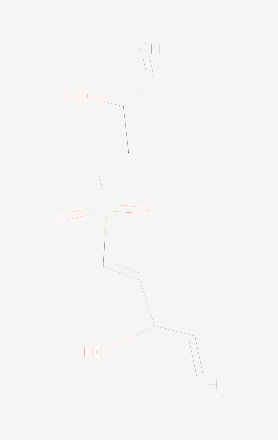 C=CC(O)C=CS(=O)(=O)C=CC(O)C=C